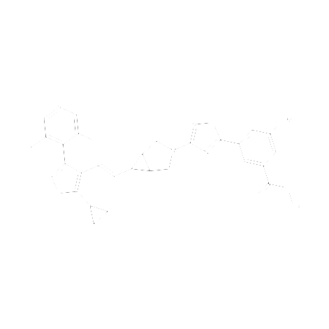 COc1cc(C(=O)OC(C)(C)C)cc(-c2nc(N3CC4C(C=Cc5c(-c6c(Cl)cncc6Cl)noc5C5CC5)C4C3)ns2)c1